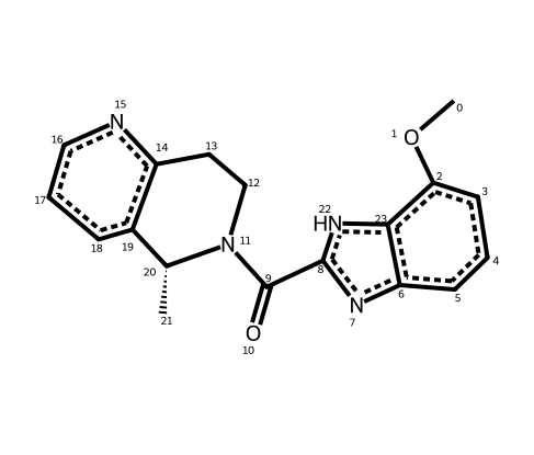 COc1cccc2nc(C(=O)N3CCc4ncccc4[C@H]3C)[nH]c12